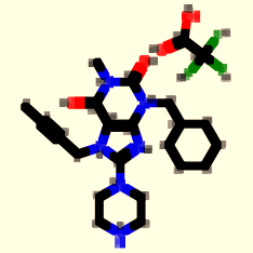 CC#CCn1c(N2CCNCC2)nc2c1c(=O)n(C)c(=O)n2CC1CCCCC1.O=C(O)C(F)(F)F